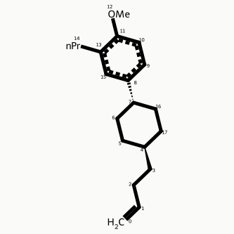 C=CCC[C@H]1CC[C@H](c2ccc(OC)c(CCC)c2)CC1